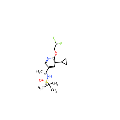 C[C@@H](N[S@+]([O-])C(C)(C)C)c1cnc(OCC(F)F)c(C2CC2)c1